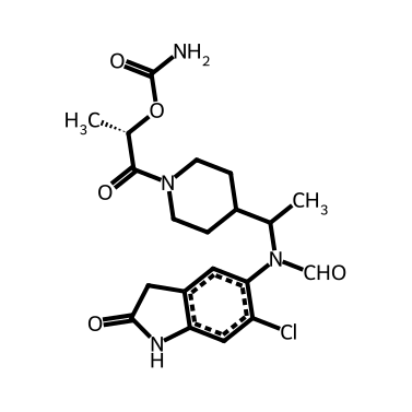 CC(C1CCN(C(=O)[C@H](C)OC(N)=O)CC1)N(C=O)c1cc2c(cc1Cl)NC(=O)C2